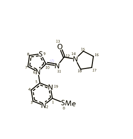 CSc1nccc(-n2ccs/c2=N\C(=O)N2CCCC2)n1